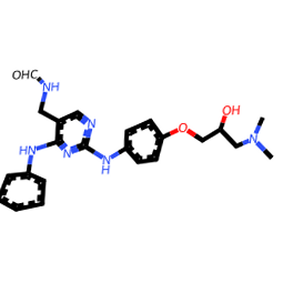 CN(C)CC(O)COc1ccc(Nc2ncc(CNC=O)c(Nc3ccccc3)n2)cc1